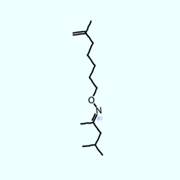 C=C(C)CCCCCO/N=C(\C)CC(C)C